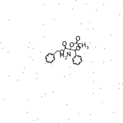 CC(=O)O[C@](N)(C(=O)OCc1ccccc1)C(=O)c1ccccc1